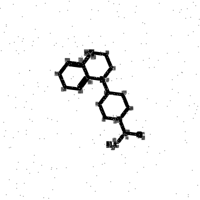 C[S+]([O-])N1CCC(N2CCNC3=CCCC=C32)CC1